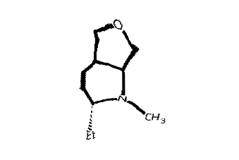 CC[C@@H]1CC2COCC2N1C